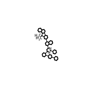 CC1(C)c2cc(-c3ccc(-c4cc(-c5ccccc5-c5ccc(-c6ccccc6)cc5)nc(-c5ccccc5)n4)c4ccccc34)ccc2-c2ccc3ccccc3c21